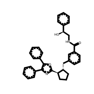 O=C(NC[C@@H](O)c1ccccc1)c1cccc(C[C@@H]2CCC[C@H]2c2nc(-c3ccccc3)c(-c3ccccc3)o2)c1